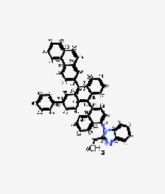 CCc1nc2ccccc2n1-c1ccc(-c2c3ccccc3c(-c3ccc4c(ccc5ccccc54)c3)c3cc(-c4ccccc4)ccc23)c2ccccc12